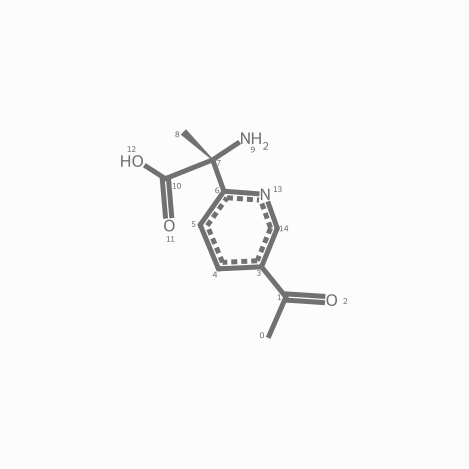 CC(=O)c1ccc([C@@](C)(N)C(=O)O)nc1